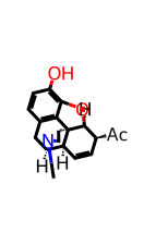 CC(=O)[C@H]1C=C[C@H]2[C@H]3Cc4ccc(O)c5c4[C@@]2(CCN3C)[C@H]1O5